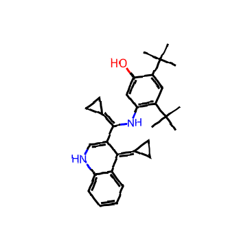 CC(C)(C)c1cc(C(C)(C)C)c(NC(C2=CNc3ccccc3C2=C2CC2)=C2CC2)cc1O